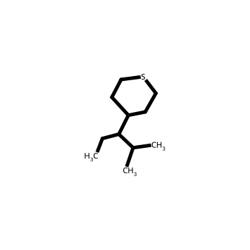 CCC(C(C)C)C1CCSCC1